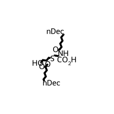 CCCCCCCCCCCCCCCC(=O)NC(CSCC(CO)OC(=O)CCCCCCCCCCCCCC)C(=O)O